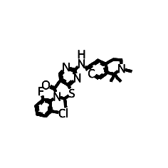 CC1Sc2nc(Nc3ccc4c(c3)CCN(C)C4(C)C)ncc2C(=O)N1c1c(F)cccc1Cl